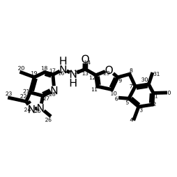 Cc1cc(C)c(C)c(Cc2ccc(C(=O)NNc3cc(C)c4c(C)nn(C)c4n3)o2)c1C